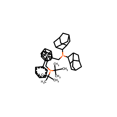 CC(C)(C)P(C[C]12[CH]3[CH]4[CH]5[C]1(CP(C1C6CC7CC(C6)CC1C7)C1C6CC7CC(C6)CC1C7)[Fe]45321678[CH]2[CH]1[CH]6[C]7(c1ccccc1)[CH]28)C(C)(C)C